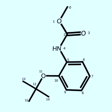 COC(=O)Nc1ccccc1OC(C)(C)C